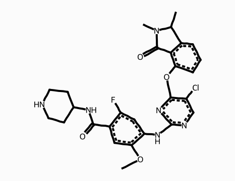 COc1cc(C(=O)NC2CCNCC2)c(F)cc1Nc1ncc(Cl)c(Oc2cccc3c2C(=O)N(C)C3C)n1